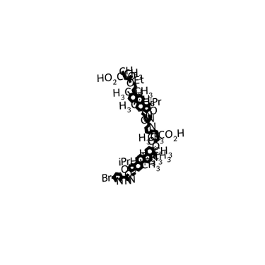 CC[C@H](CC[C@@]1(C)[C@H](C)CC[C@]2(C)[C@@H]1CC[C@@H]1C3=C(C(C)C)C(=O)C[C@]3(Cc3nnc(-c4ccc(C(F)(F)F)c(CC(C)(CC(=O)O[C@H]5CC[C@]6(C)[C@H]7CC[C@@H]8C9=C(C(C)C)C(=O)C[C@]9(Cc9nnc(-c%10ccc(Br)cn%10)o9)CC[C@@]8(C)[C@]7(C)CC[C@H]6C5(C)C)C(=O)O)n4)o3)CC[C@]12C)OC(=O)CC(C)(C)C(=O)O